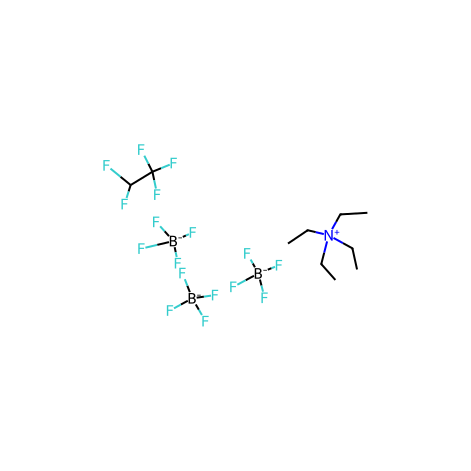 CC[N+](CC)(CC)CC.FC(F)C(F)(F)F.F[B-](F)(F)F.F[B-](F)(F)F.F[B-](F)(F)F